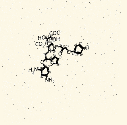 Nc1ccc(OC(Cn2cc[n+](CC(=O)COc3ccc(Cl)cc3)c2)c2cccs2)c(N)c1.O=C([O-])C(O)C(O)C(=O)O